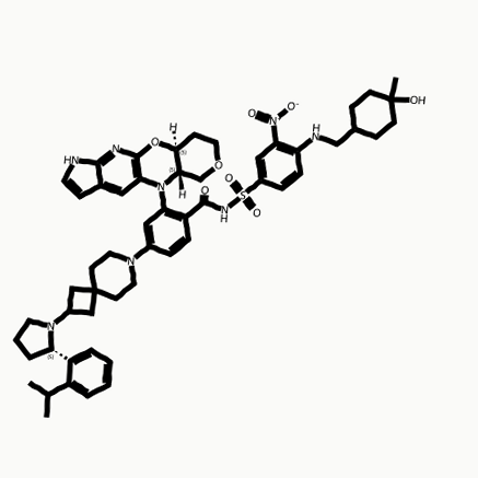 CC(C)c1ccccc1[C@@H]1CCCN1C1CC2(CCN(c3ccc(C(=O)NS(=O)(=O)c4ccc(NCC5CCC(C)(O)CC5)c([N+](=O)[O-])c4)c(N4c5cc6cc[nH]c6nc5O[C@H]5CCOC[C@@H]54)c3)CC2)C1